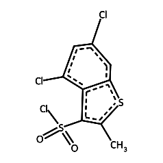 Cc1sc2cc(Cl)cc(Cl)c2c1S(=O)(=O)Cl